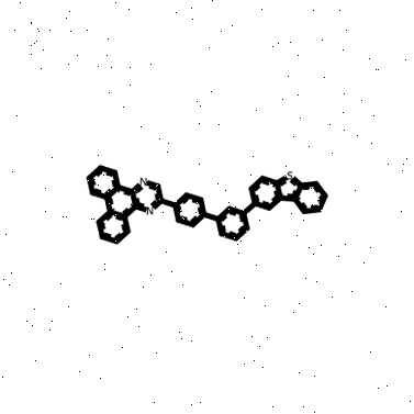 c1cc(-c2ccc(-c3cnc4c5ccccc5c5ccccc5c4n3)cc2)cc(-c2ccc3sc4ccccc4c3c2)c1